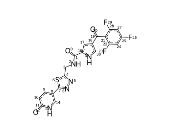 O=C(NCc1nnc(-c2ccc(=O)[nH]c2)s1)c1cc(C(=O)c2c(F)cc(F)cc2F)c[nH]1